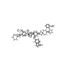 CC(C)c1ccccc1C1CCCN1C1CCC2(CC1)CN(c1ccc(C(=O)NS(=O)(=O)c3cc([N+](=O)[O-])c(NCC4CCCCC4)cn3)c(Oc3cnc4[nH]ccc4c3)c1)C2